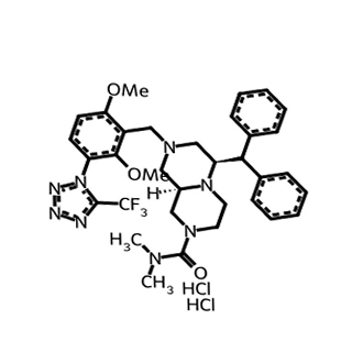 COc1ccc(-n2nnnc2C(F)(F)F)c(OC)c1CN1C[C@@H]2CN(C(=O)N(C)C)CCN2[C@H](C(c2ccccc2)c2ccccc2)C1.Cl.Cl